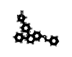 c1ccc(COc2ccc3c(c2)CCC(c2ccccc2)=C3c2ccc(-c3cn[nH]c3)cc2)cc1